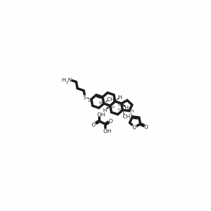 C[C@]12CC[C@H]3[C@@H](CCC4=C[C@@H](SCCCN)CC[C@@]43C)[C@@H]1CC[C@@H]2C1=CC(=O)OC1.O=C(O)C(=O)O